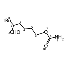 CC(C)(C)C(C=O)CCCCOC(N)=O